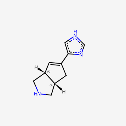 C1=C(c2c[nH]cn2)C[C@@H]2CNC[C@H]12